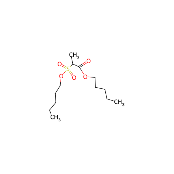 CCCCCOC(=O)C(C)S(=O)(=O)OCCCCC